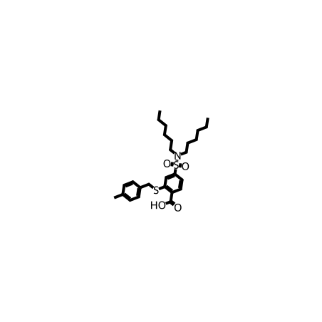 CCCCCCN(CCCCCC)S(=O)(=O)c1ccc(C(=O)O)c(SCc2ccc(C)cc2)c1